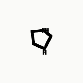 C1CPCN1